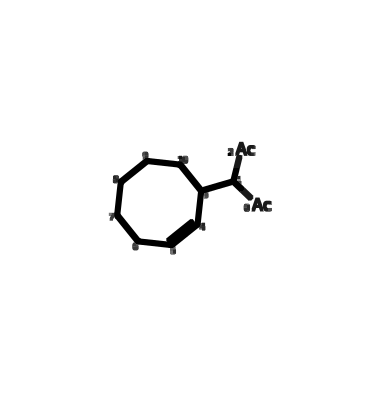 CC(=O)C(C(C)=O)C1C=CCCCCC1